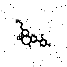 CC(C)CCC1CCN2c3ncc(-c4ccc(F)cc4F)cc3C(C)CCC(=O)[C@H]2C1